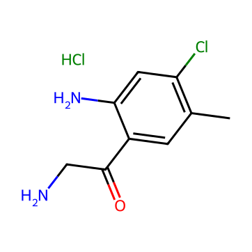 Cc1cc(C(=O)CN)c(N)cc1Cl.Cl